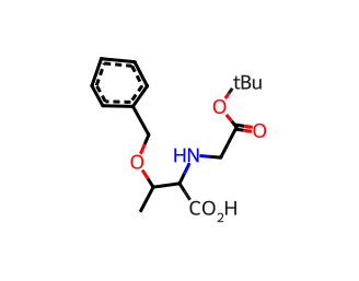 CC(OCc1ccccc1)C(NCC(=O)OC(C)(C)C)C(=O)O